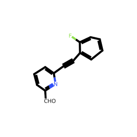 O=Cc1cccc(C#Cc2ccccc2F)n1